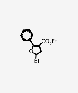 CCOC(=O)C1=C(c2ccccc2)OC(CC)C1